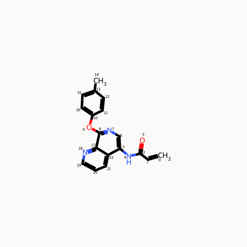 C=CC(=O)Nc1cnc(Oc2ccc(C)cc2)c2ncccc12